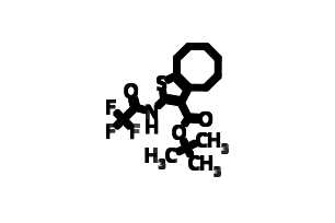 CC(C)(C)OC(=O)c1c(NC(=O)C(F)(F)F)sc2c1CCCCCC2